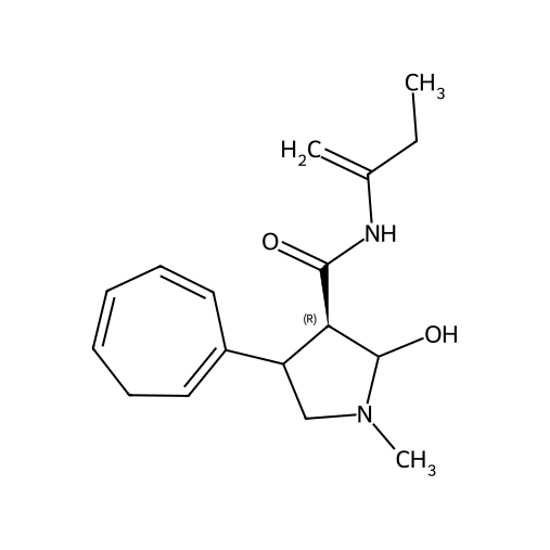 C=C(CC)NC(=O)[C@@H]1C(C2=CCC=CC=C2)CN(C)C1O